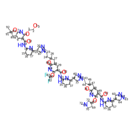 COCCOc1nc2c(cc1C(=O)Nc1cccc(-c3cnn(CCC4(C)Cc5cc(C(=O)Nc6cccc(-c7cnn(CCC8(C)Cc9cc(C(=O)Nc%10cccc(-c%11cnn(C)c%11)n%10)c(OC%10CCN(C)C%10)nc9O8)c7)n6)c(OC(F)F)nc5O4)c3)n1)CC(C)(C)O2